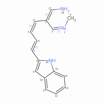 C\N=C/C(/C=C\C=C\c1cc2ccccc2[nH]1)=C\N